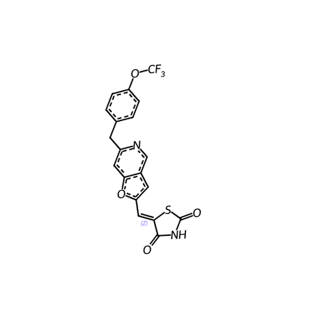 O=C1NC(=O)/C(=C/c2cc3cnc(Cc4ccc(OC(F)(F)F)cc4)cc3o2)S1